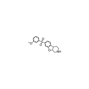 COc1cccc(S(=O)(=O)c2ccc3c(c2)OC2CNCCC32)c1